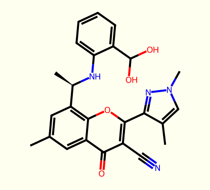 Cc1cc([C@@H](C)Nc2ccccc2C(O)O)c2oc(-c3nn(C)cc3C)c(C#N)c(=O)c2c1